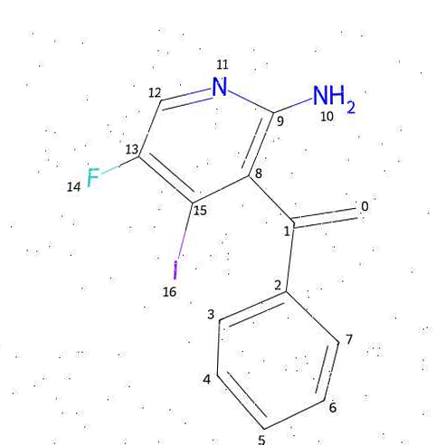 C=C(c1ccccc1)c1c(N)ncc(F)c1I